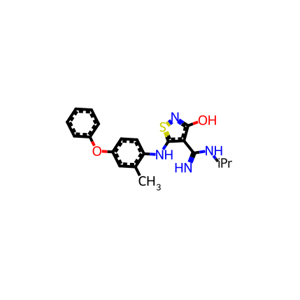 Cc1cc(Oc2ccccc2)ccc1Nc1snc(O)c1C(=N)NC(C)C